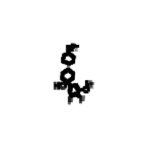 CCCC1CCC([C@H]2CC[C@](O)(c3cc(F)c(F)c(OCC)c3)CC2)CC1